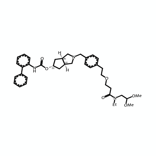 CCN(CC(OC)OC)C(=O)CCOCCc1ccc(CN2C[C@H]3C[C@H](OC(=O)Nc4ccccc4-c4ccccc4)C[C@H]3C2)cc1